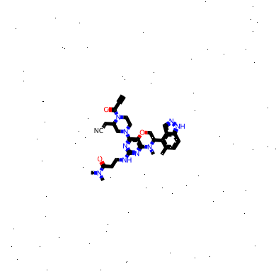 C#CC(=O)N1CCN(c2nc(NCCC(=O)N(C)C)nc3c2OCC(c2c(C)ccc4[nH]ncc24)N3C)CC1CC#N